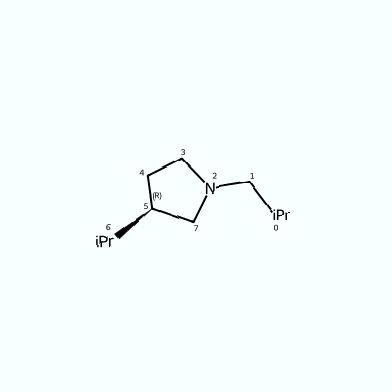 CC(C)CN1CC[C@H](C(C)C)C1